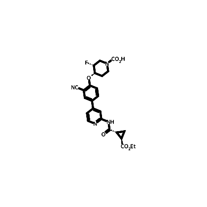 CCOC(=O)[C@@H]1C[C@H]1C(=O)Nc1cc(-c2ccc(O[C@H]3CCN(C(=O)O)C[C@H]3F)c(C#N)c2)ccn1